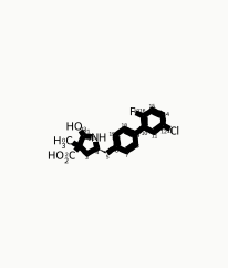 CC1(C(=O)O)C[C@@H](Cc2ccc(-c3cc(Cl)ccc3F)cc2)NC1O